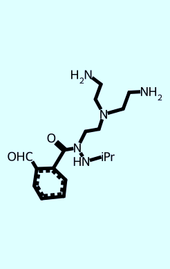 CC(C)NN(CCN(CCN)CCN)C(=O)c1ccccc1C=O